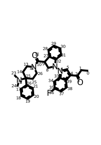 CCC(=O)c1cn(N2CC(C(=O)N3CCC(c4ccccc4)(N(C)C)CC3)c3ccccc32)c2cc(F)ccc12